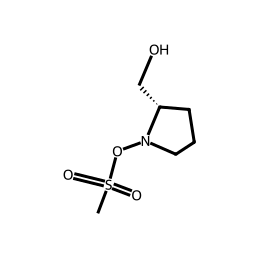 CS(=O)(=O)ON1CCC[C@H]1CO